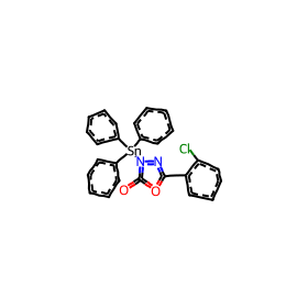 O=c1oc(-c2ccccc2Cl)n[n]1[Sn]([c]1ccccc1)([c]1ccccc1)[c]1ccccc1